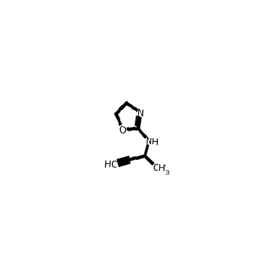 C#CC(C)NC1=NCCO1